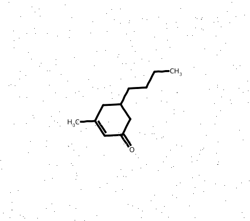 CCCCC1CC(=O)C=C(C)C1